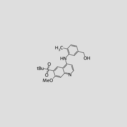 COc1cc2nccc(Nc3cc(CO)ccc3C)c2cc1S(=O)(=O)C(C)(C)C